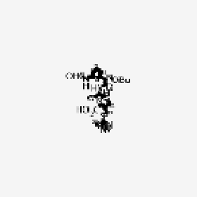 CC(C)CO/N=C(\C(=O)NC1C(=O)N2C(C(=O)O)=C(CSc3nnnn3C)CS[C@H]12)c1cccc(NC=O)n1